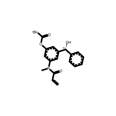 C=CC(=O)N(C)c1cc(OC(=O)C(C)(C)C)cc([C@H](O)c2ccccc2)c1